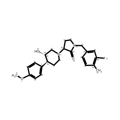 COc1ccc([C@@H]2CCN(C3CCN(Cc4ccc(C)c(F)c4)C3=O)C[C@H]2O)cc1